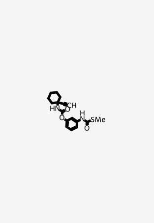 C#CC1(NC(=O)Oc2cccc(NC(=O)SC)c2)CCCCC1